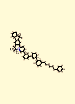 CCC1(C)c2cc3c(cc2-c2ccc(C4C=CC=C(C5=CC(c6cccc(CCCCCCc7ccccc7)c6)=CCC5)C4)c[n+]2[C@]1(C)CC)C(C)(C)c1ccccc1-3